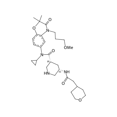 COCCCN1C(=O)C(C)(C)Oc2ccc(N(C(=O)[C@H]3CNC[C@@H](NC(=O)CC4CCOCC4)C3)C3CC3)cc21